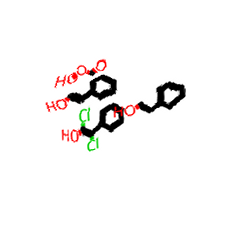 O=COO.OC(Cl)=C(Cl)c1ccccc1.OC=Cc1ccccc1.OC=Cc1ccccc1